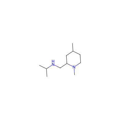 CC1CCN(C)C(CNC(C)C)C1